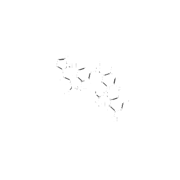 Cc1ccc(N(C(N)=O)c2cc(C(F)(F)F)ccc2F)cc1Nc1ccc2c(c1)NC(=O)C2=Cc1ccc[nH]1